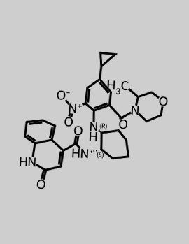 CC1COCCN1C(=O)c1cc(C2CC2)cc([N+](=O)[O-])c1N[C@@H]1CCCC[C@@H]1NC(=O)c1cc(=O)[nH]c2ccccc12